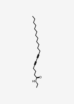 CCCCCCCCCCCCC#CC#CCCCC(=O)NCC